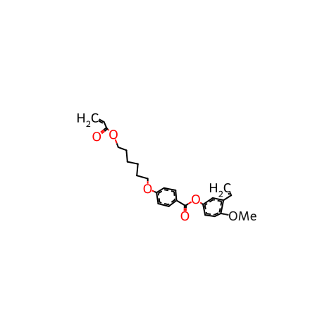 C=CC(=O)OCCCCCCOc1ccc(C(=O)Oc2ccc(OC)c(C=C)c2)cc1